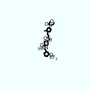 Cc1cc(N2CCOCC2=O)ccc1C=CS(=O)(=O)N1CCC2(CC1)N=C(c1cccc(OC(F)(F)F)c1)NC2=O